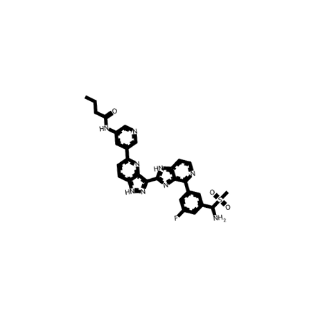 CCCC(=O)Nc1cncc(-c2ccc3[nH]nc(-c4nc5c(-c6cc(F)cc(C(N)S(C)(=O)=O)c6)nccc5[nH]4)c3n2)c1